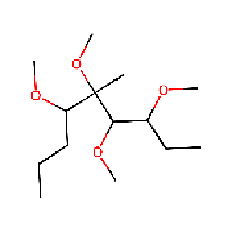 CCCC(OC)C(C)(OC)C(OC)C(CC)OC